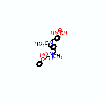 CC(Cc1ccc2c(c1)cc(C(=O)O)n2Cc1cccc(P(=O)(O)O)c1)NCC(O)COc1ccccc1